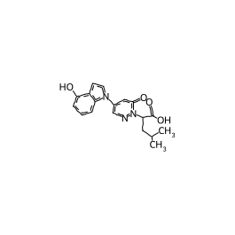 CC(C)CC(C(=O)O)n1ncc(-n2ccc3c(O)cccc32)cc1=O